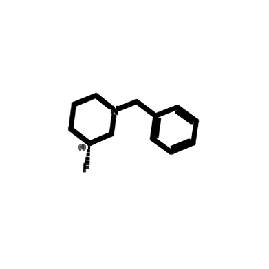 F[C@@H]1CCCN(Cc2ccccc2)C1